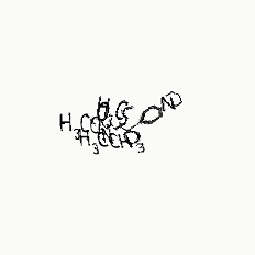 CCOC(=O)/C(=C/C=C(\SC)C(=O)c1ccc(N2CCCCC2)cc1)N(C)C